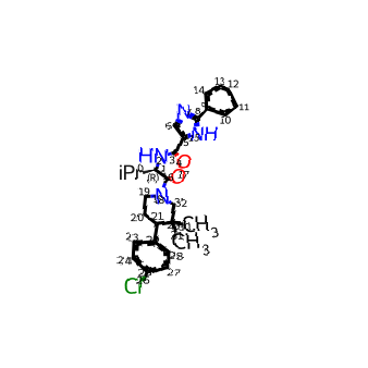 CC(C)[C@@H](NC(=O)c1cnc(-c2ccccc2)[nH]1)C(=O)N1CCC(c2ccc(Cl)cc2)C(C)(C)C1